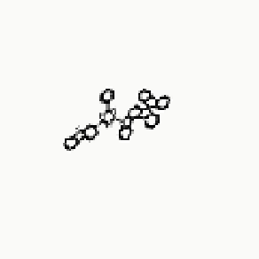 c1ccc(-c2nc(-c3ccc4c(c3)sc3ccccc34)nc(-n3c4ccccc4c4c5c(ccc43)C3(c4ccccc4-c4ccccc43)c3ccccc3-5)n2)cc1